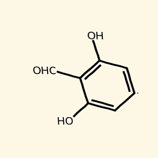 O=Cc1c(O)c[c]cc1O